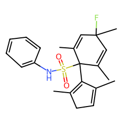 CC1=CCC(C)=C1C1(S(=O)(=O)Nc2ccccc2)C(C)=CC(C)(F)C=C1C